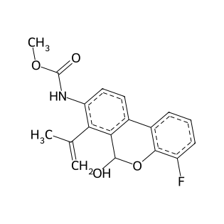 C=C(C)c1c(NC(=O)OC)ccc2c1C(O)Oc1c(F)cccc1-2